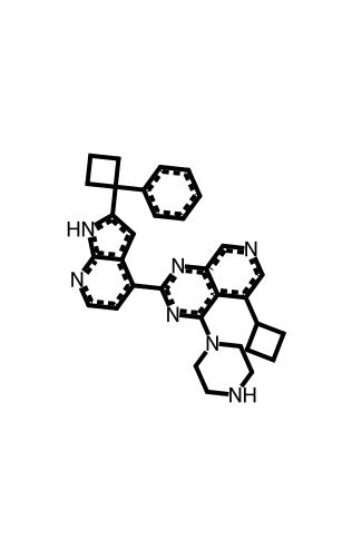 c1ccc(C2(c3cc4c(-c5nc(N6CCNCC6)c6c(C7CCC7)cncc6n5)ccnc4[nH]3)CCC2)cc1